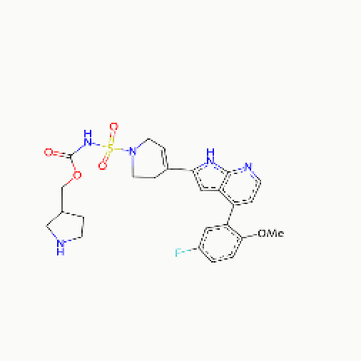 COc1ccc(F)cc1-c1ccnc2[nH]c(C3=CCN(S(=O)(=O)NC(=O)OCC4CCNC4)CC3)cc12